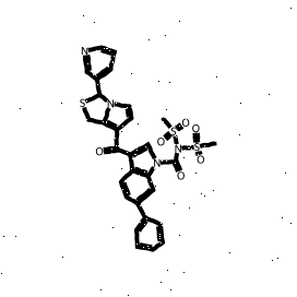 CS(=O)(=O)N(C(=O)n1cc(C(=O)c2ccn3c2CSC3c2cccnc2)c2ccc(-c3ccccc3)cc21)S(C)(=O)=O